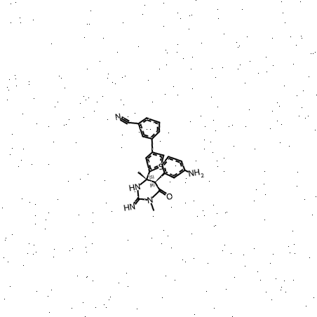 CN1C(=N)N[C@](C)(c2cc(-c3cccc(C#N)c3)cs2)[C@@H](c2cccc(N)c2)C1=O